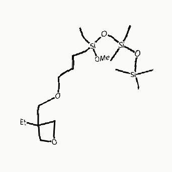 CCC1(COCCC[Si](C)(OC)O[Si](C)(C)O[Si](C)(C)C)COC1